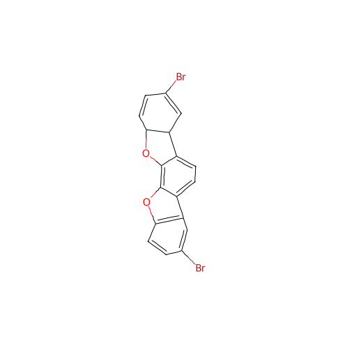 BrC1=CC2c3ccc4c(oc5ccc(Br)cc54)c3OC2C=C1